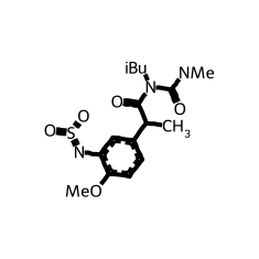 CCC(C)N(C(=O)NC)C(=O)C(C)c1ccc(OC)c(N=S(=O)=O)c1